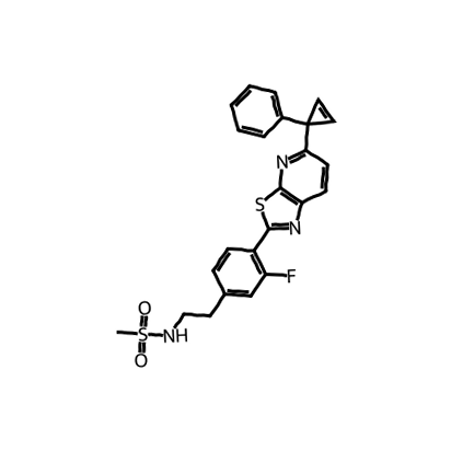 CS(=O)(=O)NCCc1ccc(-c2nc3ccc(C4(c5ccccc5)C=C4)nc3s2)c(F)c1